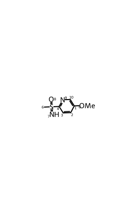 COc1ccc(S(C)(=N)=O)nc1